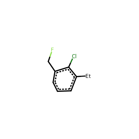 CCc1cccc(CF)c1Cl